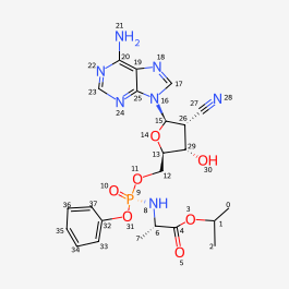 CC(C)OC(=O)[C@H](C)N[P@](=O)(OC[C@H]1O[C@@H](n2cnc3c(N)ncnc32)[C@H](C#N)[C@@H]1O)Oc1ccccc1